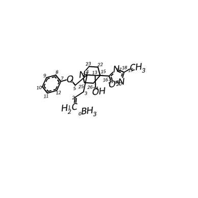 B.C=CCC1(COc2ccccc2)C(O)C2(c3nc(C)no3)CCN1CC2